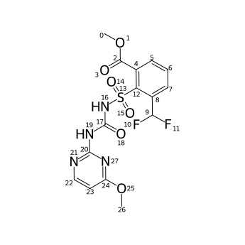 COC(=O)c1cccc(C(F)F)c1S(=O)(=O)NC(=O)Nc1nccc(OC)n1